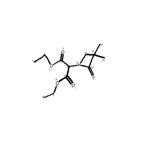 CCOC(=O)C(C(=O)OCC)N1CC(C)(C)C1=O